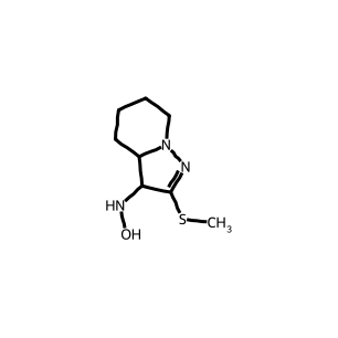 CSC1=NN2CCCCC2C1NO